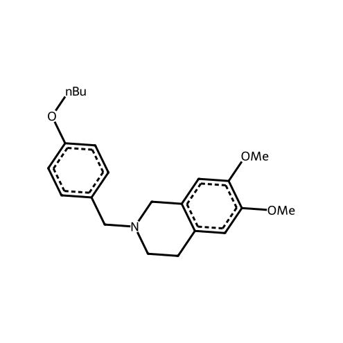 CCCCOc1ccc(CN2CCc3cc(OC)c(OC)cc3C2)cc1